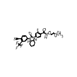 COCCONC(=O)c1ccc(N2C(=O)N(c3ccc(C#N)c(C(F)(F)F)c3)[C@H]3CCCC[C@@H]32)cc1F